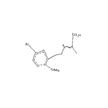 COc1ccc(C(C)=O)cc1CSC(C)C(=O)O